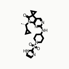 C[C@@H](C1CC1)N1C(=O)C2(CC2)c2cnc(NC3CCN(S(=O)(=O)c4ncc[nH]4)CC3)nc21